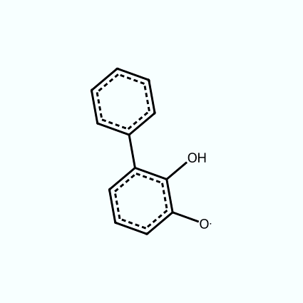 [O]c1cccc(-c2ccccc2)c1O